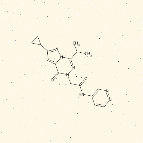 CC(C)c1nn(CC(=O)Nc2ccnnc2)c(=O)c2cc(C3CC3)nn12